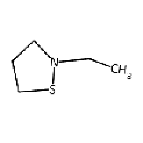 CCN1CCCS1